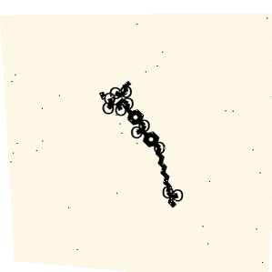 C=CC(=O)OCCCCCCCCOc1ccc(C(=O)Oc2ccc(C3O[C@@H](C(=O)OCC)[C@H](C(=O)OCC)O3)cc2)cc1